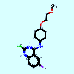 COCCOC1CCC(Nc2nc(Cl)nc3ccc(I)cc23)CC1